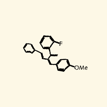 C=C(C(C=Cc1ccccc1)=Cc1ccc(OC)cc1)c1ccccc1F